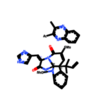 C=CC(C)(C)[C@]12C=C(OC)C(=O)N3/C(=C/c4c[nH]cn4)C(=O)N[C@@]31N(OC)c1ccccc12.CC(=O)c1nc2ccccc2nc1C